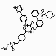 CC(C)(C)OC(=O)NCC1CCC(C(=O)N[C@@H](Cc2cccc(-c3ccccc3S(=O)(=O)N3CCOCC3)c2)C(=O)Nc2ccc(-c3nn[nH]n3)cc2)CC1